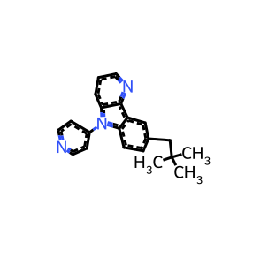 CC(C)(C)Cc1ccc2c(c1)c1ncccc1n2-c1ccncc1